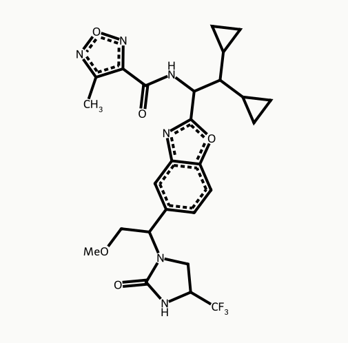 COCC(c1ccc2oc(C(NC(=O)c3nonc3C)C(C3CC3)C3CC3)nc2c1)N1CC(C(F)(F)F)NC1=O